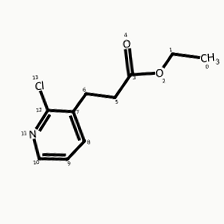 CCOC(=O)CCc1cccnc1Cl